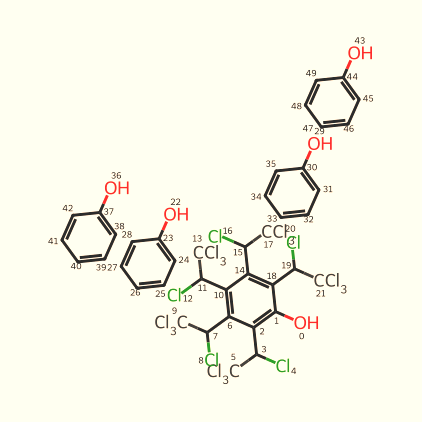 Oc1c(C(Cl)C(Cl)(Cl)Cl)c(C(Cl)C(Cl)(Cl)Cl)c(C(Cl)C(Cl)(Cl)Cl)c(C(Cl)C(Cl)(Cl)Cl)c1C(Cl)C(Cl)(Cl)Cl.Oc1ccccc1.Oc1ccccc1.Oc1ccccc1.Oc1ccccc1